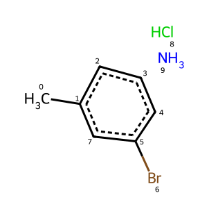 Cc1cccc(Br)c1.Cl.N